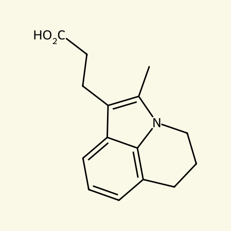 Cc1c(CCC(=O)O)c2cccc3c2n1CCC3